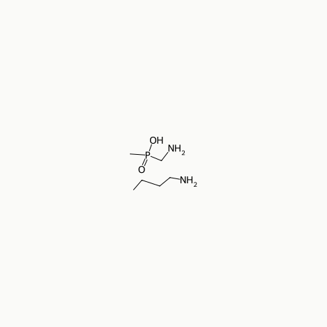 CCCCN.CP(=O)(O)CN